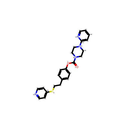 O=C(Oc1ccc(CCSc2ccncc2)cc1)N1CCN(c2ccccn2)CC1